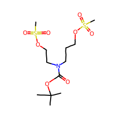 CC(C)(C)OC(=O)N(CCCOS(C)(=O)=O)CCOS(C)(=O)=O